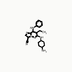 CCc1c(NC2CCC(N)CC2)nn2c(C#N)cnc2c1Nc1ccccc1